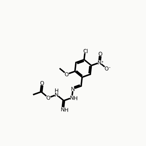 COc1cc(Cl)c([N+](=O)[O-])cc1C=NNC(=N)NOC(C)=O